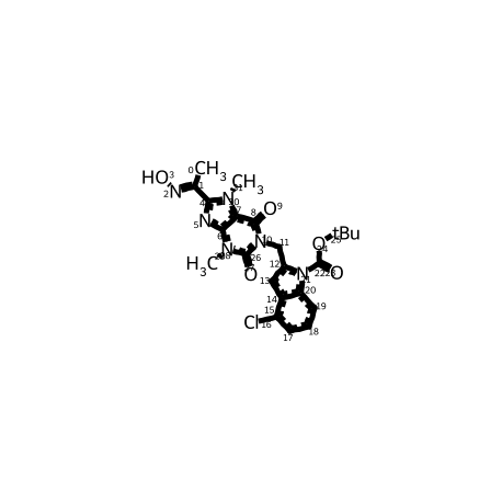 CC(=NO)c1nc2c(c(=O)n(Cc3cc4c(Cl)cccc4n3C(=O)OC(C)(C)C)c(=O)n2C)n1C